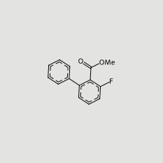 COC(=O)c1c(F)cccc1-c1ccccc1